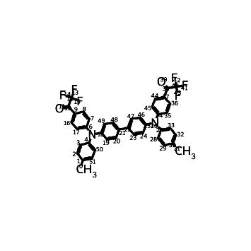 Cc1ccc(N(c2ccc(C(=O)C(F)(F)F)cc2)c2ccc(-c3ccc(N(c4ccc(C)cc4)c4ccc(C(=O)C(F)(F)F)cc4)cc3)cc2)cc1